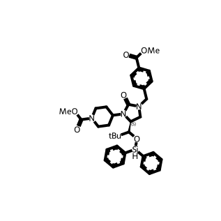 COC(=O)c1ccc(CN2C[C@@H](C(O[SiH](c3ccccc3)c3ccccc3)C(C)(C)C)N(C3CCN(C(=O)OC)CC3)C2=O)cc1